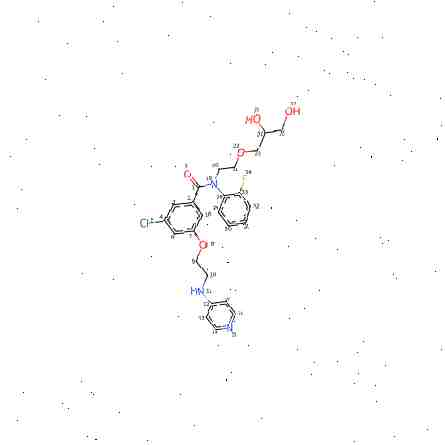 O=C(c1cc(Cl)cc(OCCNc2ccncc2)c1)N(CCOCC(O)CO)c1ccccc1F